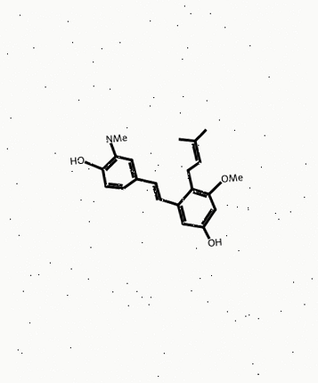 CNc1cc(C=Cc2cc(O)cc(OC)c2CC=C(C)C)ccc1O